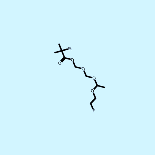 CCC(C)(C)C(=O)OCOCOC(C)OCCF